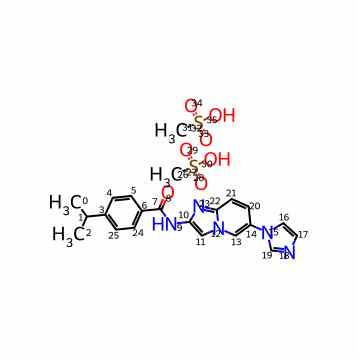 CC(C)c1ccc(C(=O)Nc2cn3cc(-n4ccnc4)ccc3n2)cc1.CS(=O)(=O)O.CS(=O)(=O)O